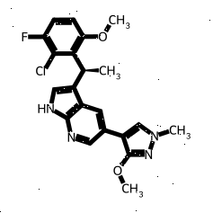 COc1ccc(F)c(Cl)c1[C@@H](C)c1c[nH]c2ncc(-c3cn(C)nc3OC)cc12